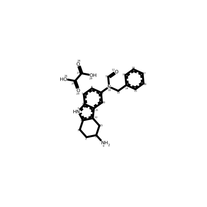 NC1CCc2[nH]c3ccc(N(C=O)Cc4ccccc4)cc3c2C1.O=C(O)C(=O)O